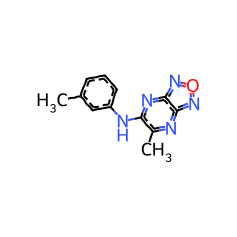 Cc1cccc(Nc2nc3nonc3nc2C)c1